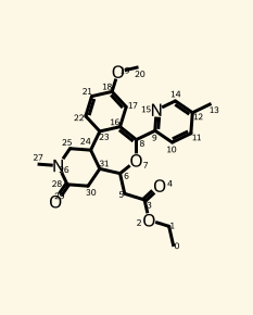 CCOC(=O)CC1OC(c2ccc(C)cn2)=C2C=C(OC)C=CC2C2CN(C)C(=O)CC12